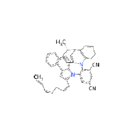 C/C=C/C=C\C/C=C\c1cc2c3ccccc3ccc2n1-c1cc(C#N)cc(C#N)c1N1C2=CC(C3=C1CCC=C3)[C@@H](C)C=C2